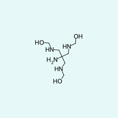 NC(CNCO)(CNCO)CNCO